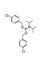 CC(C)N(C(C)C)P(OCc1ccc(Cl)cc1)OCc1ccc(Cl)cc1